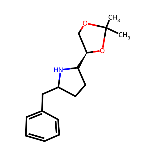 CC1(C)OC[C@H](C2CCC(Cc3ccccc3)N2)O1